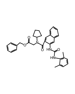 Cc1cccc(C)c1NC(=O)Nc1cc2ccccc2cc1C(=O)N(CC(=O)OCc1ccccc1)C1CCCC1